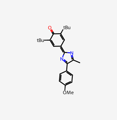 COc1ccc(C2=NC(=C3C=C(C(C)(C)C)C(=O)C(C(C)(C)C)=C3)N=C2C)cc1